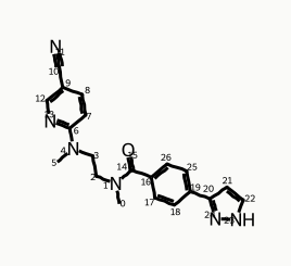 CN(CCN(C)c1ccc(C#N)cn1)C(=O)c1ccc(-c2cc[nH]n2)cc1